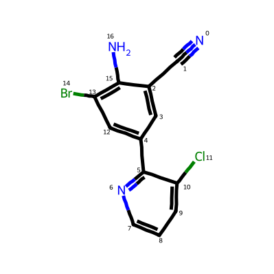 N#Cc1cc(-c2ncccc2Cl)cc(Br)c1N